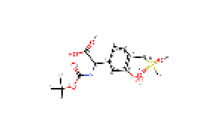 CC(C)(C)OC(=O)NC(C(=O)O)c1ccc(CS(C)(=O)=O)c(O)c1